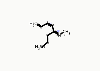 C=C/C=C\C(CC[SiH3])=N/C